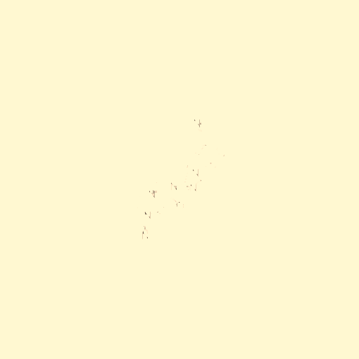 N#Cc1cccc(-n2cnc(N3CCN4CCN(C#N)CC4C3=O)c2)c1